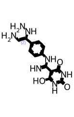 N=C(Nc1ccc(/C(=C/N)NN)cc1)c1c(O)[nH]c(=O)[nH]c1=O